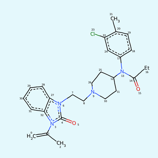 C=C(C)n1c(=O)n(CCN2CCC(N(C(=O)CC)c3ccc(C)c(Cl)c3)CC2)c2ccccc21